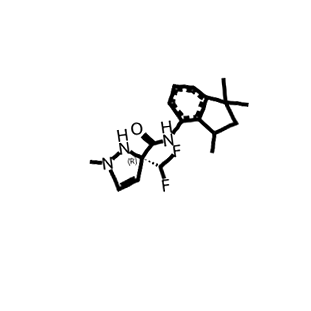 CC1CC(C)(C)c2cccc(NC(=O)[C@@]3(C(F)F)C=CN(C)N3)c21